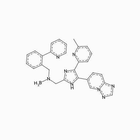 BN(Cc1nc(-c2cccc(C)n2)c(-c2ccc3ncnn3c2)[nH]1)Cc1ccccc1-c1ccccn1